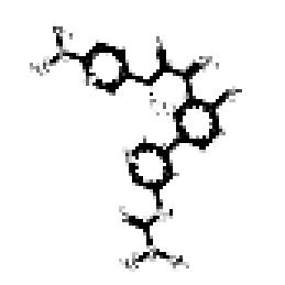 C=C(C(=O)[C@H](C)c1ccc(N(C)C)nc1)c1cc(-c2cncc(NC(=O)N(C)C)c2)ccc1CCC